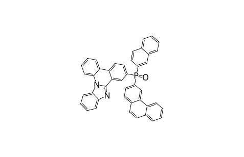 O=P(c1ccc2ccccc2c1)(c1ccc2ccc3ccccc3c2c1)c1ccc2c3ccccc3n3c4ccccc4nc3c2c1